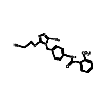 CCCCc1nnc(SCCO)n1Cc1ccc(NC(=O)c2ccccc2C(=O)O)cc1